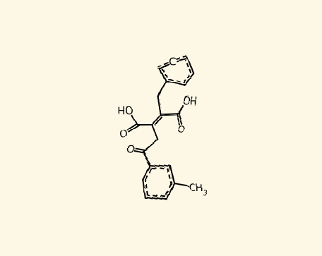 Cc1cccc(C(=O)CC(C(=O)O)=C(Cc2ccccc2)C(=O)O)c1